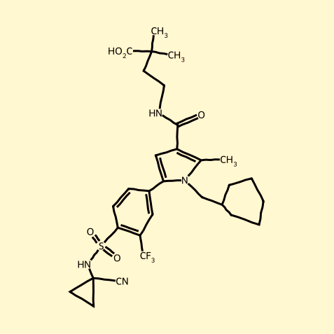 Cc1c(C(=O)NCCC(C)(C)C(=O)O)cc(-c2ccc(S(=O)(=O)NC3(C#N)CC3)c(C(F)(F)F)c2)n1CC1CCCCC1